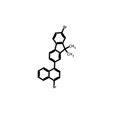 CC1(C)c2cc(Br)ccc2-c2ccc(-c3ccc(Br)c4ccccc34)cc21